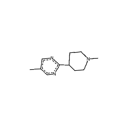 Cc1cnc(C2CCN(C)CC2)nc1